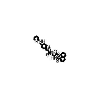 O=C(NC[C@H](NS(=O)(=O)c1cccc2ccccc12)C(=O)O)C1=NOC2(CCC(CNc3ccccn3)CC2)C1